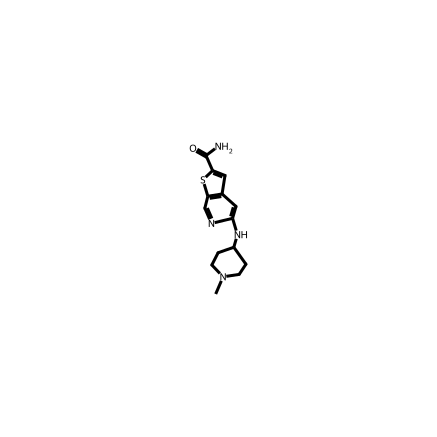 CN1CCC(Nc2cc3cc(C(N)=O)sc3cn2)CC1